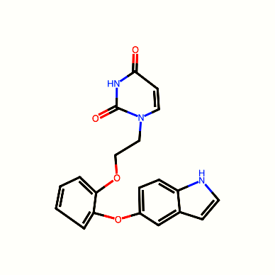 O=c1ccn(CCOc2ccccc2Oc2ccc3[nH]ccc3c2)c(=O)[nH]1